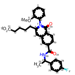 COc1ccccc1-n1c(CCCCC(=O)O)cc2cc(C(=O)NC(C)c3ccc(F)cc3)ccc2c1=O